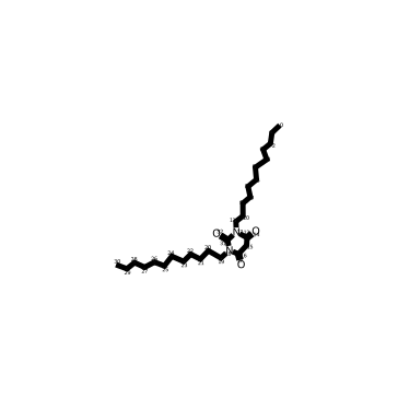 CCCCCCCCCCCCN1C(=O)CC(=O)N(CCCCCCCCCCCC)C1=O